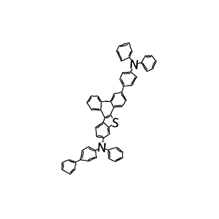 c1ccc(-c2ccc(N(c3ccccc3)c3ccc4c(c3)sc3c5ccc(-c6ccc(N(c7ccccc7)c7ccccc7)cc6)cc5c5ccccc5c43)cc2)cc1